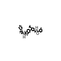 Cc1cccc(C(=O)N[C@@H](C)c2ccc(C3CC3)c(-c3ccc4nc(Nc5cnn(C6CCN(C)CC6)c5)ncc4c3)c2)c1